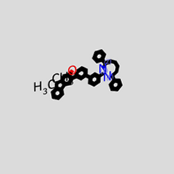 CC1(C)c2ccccc2-c2cc3c(cc21)oc1ccc(-c2cccc(C4=N/C(c5ccccc5)=C\CCC/C(c5ccccc5)=N\4)c2)cc13